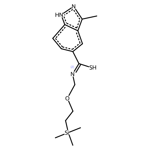 Cc1n[nH]c2ccc(/C(S)=N/COCC[Si](C)(C)C)cc12